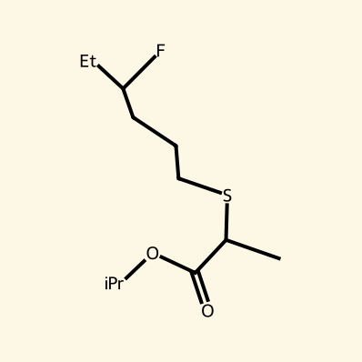 CCC(F)CCCSC(C)C(=O)OC(C)C